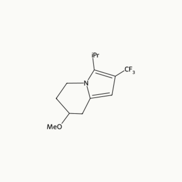 COC1CCn2c(cc(C(F)(F)F)c2C(C)C)C1